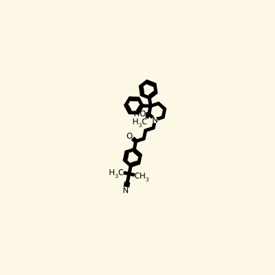 CC(C)(C#N)c1ccc(C(=O)CCCN2CCCC(c3ccccc3)(c3ccccc3)C2(C)O)cc1